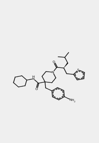 C[C](C)C[C@@H](Cc1cccs1)C(=O)N1CCC(Cc2ccc(N)cc2)(C(=O)NC2CCCCC2)CC1